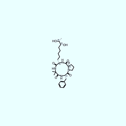 C[C@@H](O)[C@H](O)CCCCC[C@@H]1NC(=O)[C@H]2CCCN2C(=O)[C@H](Cc2ccccc2)NC(=O)C(C)(C)NC1=O